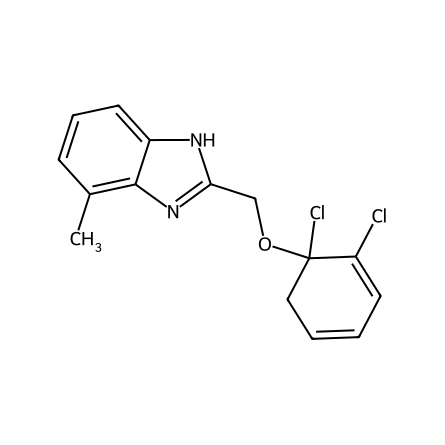 Cc1cccc2[nH]c(COC3(Cl)CC=CC=C3Cl)nc12